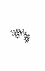 C[C@H]1C(=O)N2CCCc3nc(N[C@H]4C[C@@H](Nc5ccc(C(F)(F)F)nn5)C4)nc(c32)N1C